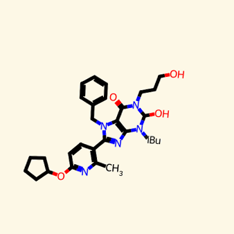 CCC(C)N1c2nc(-c3ccc(OC4CCCC4)nc3C)n(Cc3ccccc3)c2C(=O)N(CCCO)C1O